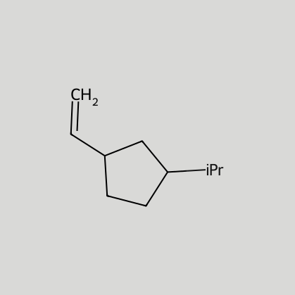 C=CC1CCC(C(C)C)C1